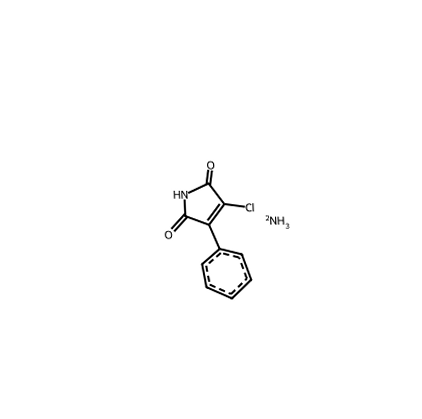 O=C1NC(=O)C(c2ccccc2)=C1Cl.[2NH3]